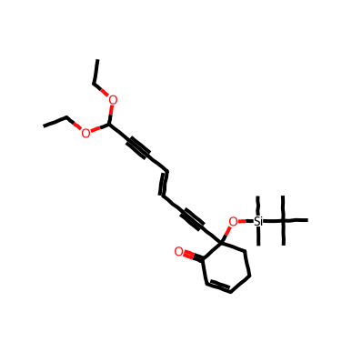 CCOC(C#CC=CC#CC1(O[Si](C)(C)C(C)(C)C)CCC=CC1=O)OCC